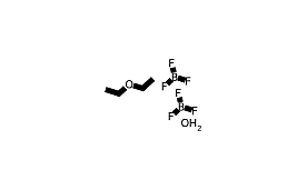 CCOCC.FB(F)F.FB(F)F.O